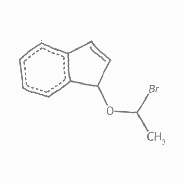 CC(Br)OC1C=Cc2[c]cccc21